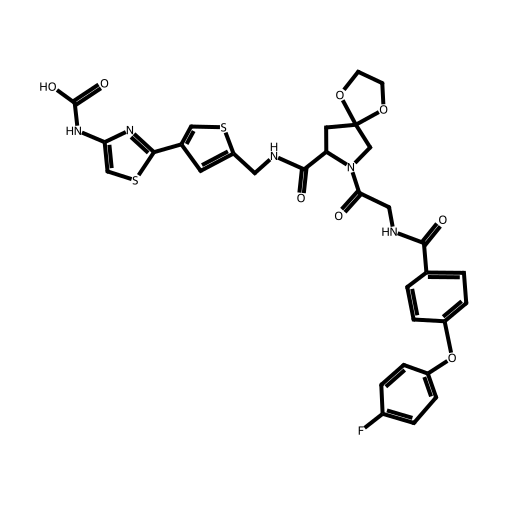 O=C(O)Nc1csc(-c2csc(CNC(=O)C3CC4(CN3C(=O)CNC(=O)c3ccc(Oc5ccc(F)cc5)cc3)OCCO4)c2)n1